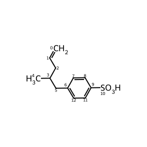 C=CCC(C)Cc1ccc(S(=O)(=O)O)cc1